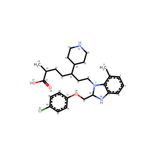 Cc1cccc2c1N(CCC(CCC(C)C(=O)O)C1CCNCC1)C(COc1ccc(Cl)cc1)N2